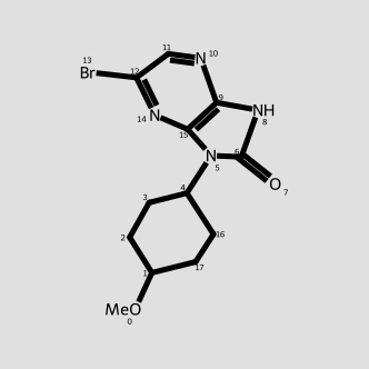 COC1CCC(n2c(=O)[nH]c3ncc(Br)nc32)CC1